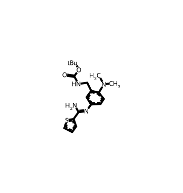 CN(C)c1ccc(N=C(N)c2cccs2)cc1CNC(=O)OC(C)(C)C